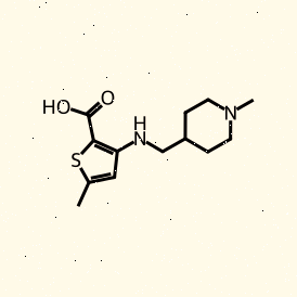 Cc1cc(NCC2CCN(C)CC2)c(C(=O)O)s1